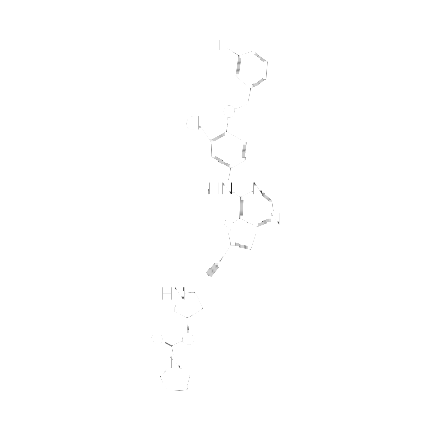 O=C(O[C@H]1CN[C@H](C#Cc2cc3ncnc(Nc4ccc(OCc5cccc(F)c5)c(Cl)c4)c3s2)C1)N1CCCC1